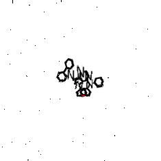 c1ccc(N(c2ccccc2)c2ncnc3c(-n4c5ccccc5c5ccccc54)cn(-c4ccccc4)c23)cc1